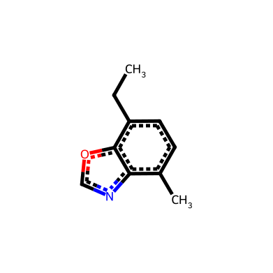 CCc1ccc(C)c2ncoc12